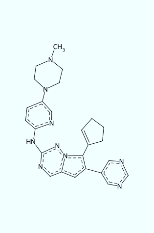 CN1CCN(c2ccc(Nc3ncc4cc(-c5cncnc5)c(C5=CCCC5)n4n3)nc2)CC1